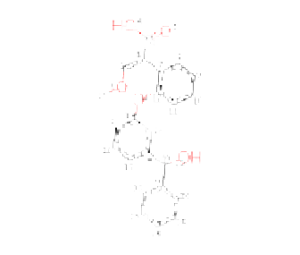 CO/C=C(/C(=O)O)c1ccccc1Oc1cccc(C(O)c2ccccc2)c1